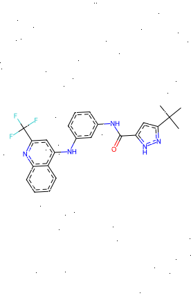 CC(C)(C)c1cc(C(=O)Nc2cccc(Nc3cc(C(F)(F)F)nc4ccccc34)c2)[nH]n1